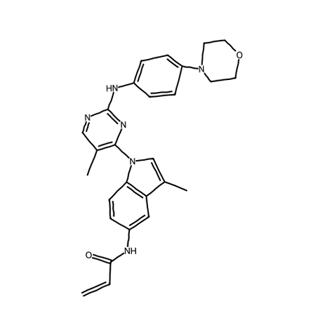 C=CC(=O)Nc1ccc2c(c1)c(C)cn2-c1nc(Nc2ccc(N3CCOCC3)cc2)ncc1C